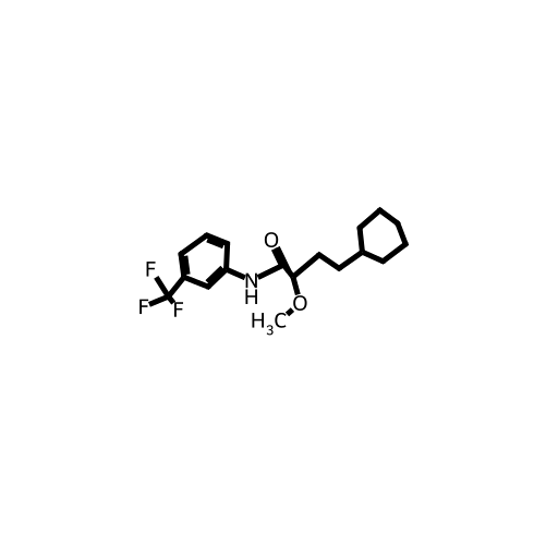 COC(CCC1CCCCC1)C(=O)Nc1cccc(C(F)(F)F)c1